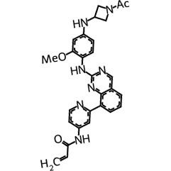 C=CC(=O)Nc1ccnc(-c2cccc3cnc(Nc4ccc(NC5CN(C(C)=O)C5)cc4OC)nc23)c1